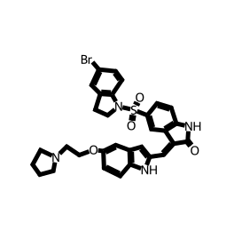 O=C1Nc2ccc(S(=O)(=O)N3CCc4cc(Br)ccc43)cc2/C1=C\c1cc2cc(OCCN3CCCC3)ccc2[nH]1